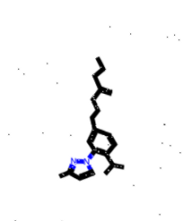 C=C(CCC)CCCc1ccc(C(C)C)c(-n2ccc(C)n2)c1